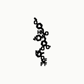 CCOc1ccc(CNC(=O)N(Cc2ccc(OCc3nccc(OCC(F)(F)F)c3C)c(OC)c2)C2CCN(C)CC2)cc1